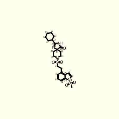 CS(=O)(=O)n1ccc2c(CCS(=O)(=O)N3CCC4(CC3)N=C(C3CCCCC3)NC4=O)cccc21